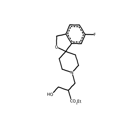 CCOC(=O)C(CO)CN1CCC2(CC1)OCc1ccc(F)cc12